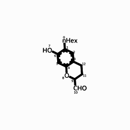 CCCCCCc1cc2c(cc1O)OC(C=O)CC2